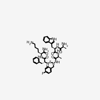 C[C@H](N)C(=O)N[C@H](Cc1c[nH]c2ccccc12)C(=O)N[C@@H](C)C(=O)NN(Cc1ccc(F)cc1)SN[C@H](Cc1ccccc1)C(=O)N[C@@H](CCCCN)C(N)=O